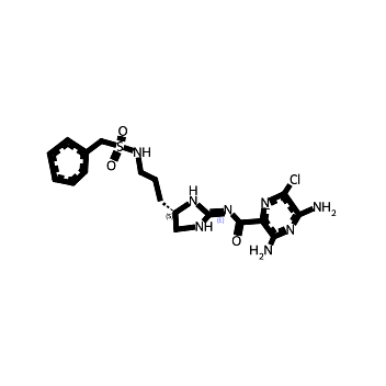 Nc1nc(N)c(C(=O)/N=C2\NC[C@H](CCCNS(=O)(=O)Cc3ccccc3)N2)nc1Cl